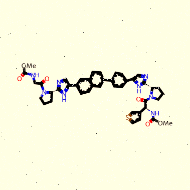 COC(=O)NCC(=O)N1CCC[C@H]1c1ncc(-c2ccc3cc(-c4ccc(-c5cnc([C@@H]6CCCN6C(=O)[C@H](NC(=O)OC)c6ccsc6)[nH]5)cc4)ccc3c2)[nH]1